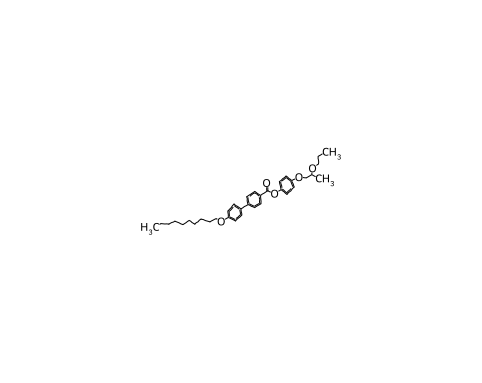 CCCCCCCCCCOc1ccc(-c2ccc(C(=O)Oc3ccc(OCC(C)OCCC)cc3)cc2)cc1